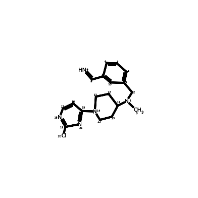 CN(Cc1cccc(C=N)c1)C1CCN(c2ccnc(Cl)n2)CC1